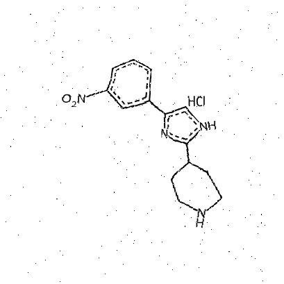 Cl.O=[N+]([O-])c1cccc(-c2c[nH]c(C3CCNCC3)n2)c1